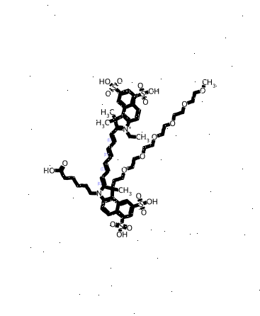 CC[N+]1=C(/C=C/C=C/C=C/C=C2/N(CCCCCC(=O)O)c3ccc4c(S(=O)(=O)O)cc(S(=O)(=O)O)cc4c3C2(C)CCOCCOCCOCCOCCOCCOC)C(C)(C)c2c1ccc1c(S(=O)(=O)O)cc(S(=O)(=O)O)cc21